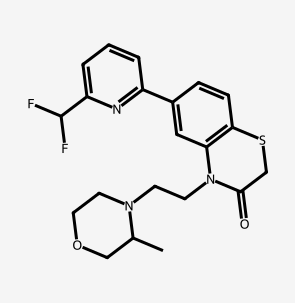 CC1COCCN1CCN1C(=O)CSc2ccc(-c3cccc(C(F)F)n3)cc21